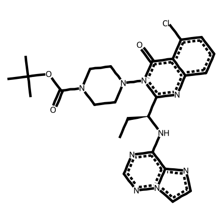 CC[C@H](Nc1ncnn2ccnc12)c1nc2cccc(Cl)c2c(=O)n1N1CCN(C(=O)OC(C)(C)C)CC1